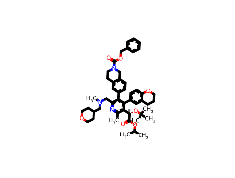 Cc1nc(CN(C)CC2CCOCC2)c(-c2ccc3c(c2)CCN(C(=O)OCc2ccccc2)C3)c(-c2ccc3c(c2)CCCO3)c1[C@H](OC(C)(C)C)C(=O)OC(C)C